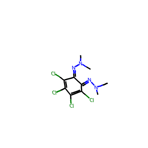 CN(C)N=C1C(=NN(C)C)C(Cl)=C(Cl)C(Cl)=C1Cl